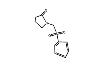 O=C1CCCN1CS(=O)(=O)c1ccccc1